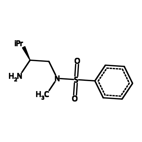 CC(C)[C@H](N)CN(C)S(=O)(=O)c1ccccc1